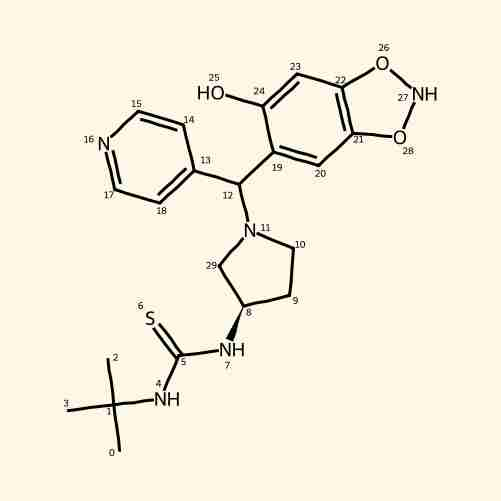 CC(C)(C)NC(=S)N[C@@H]1CCN(C(c2ccncc2)c2cc3c(cc2O)ONO3)C1